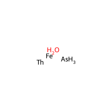 O.[AsH3].[Fe].[Th]